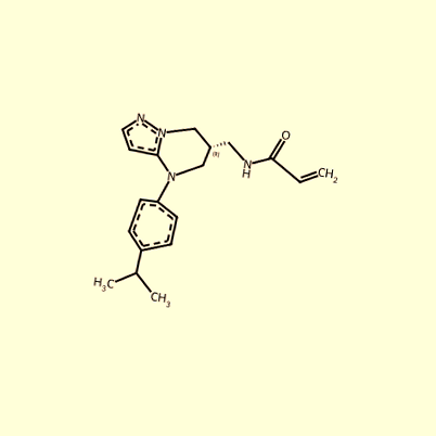 C=CC(=O)NC[C@@H]1CN(c2ccc(C(C)C)cc2)c2ccnn2C1